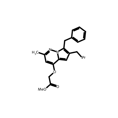 COC(=O)COc1cc(C)nn2c(Cc3ccccc3)c(CC(C)C)cc12